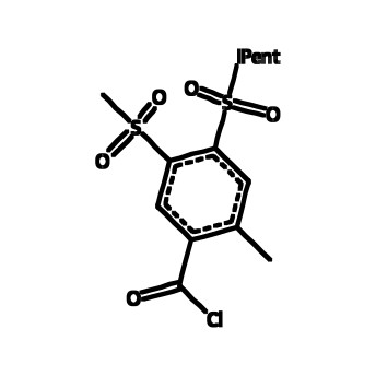 CCCC(C)S(=O)(=O)c1cc(C)c(C(=O)Cl)cc1S(C)(=O)=O